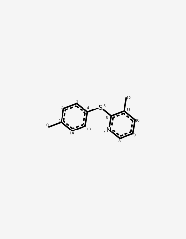 Cc1ccc(Sc2ncccc2C)cc1